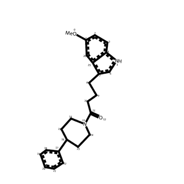 COc1ccc2[nH]cc(CCCC(=O)N3CCC(c4ccccc4)CC3)c2c1